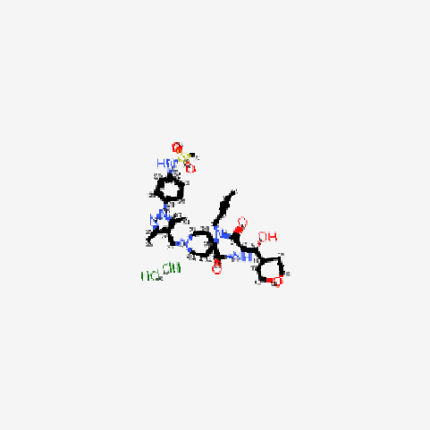 CC#CCN1C(=O)[C@@H]([C@H](O)C2CCOCC2)NC(=O)C12CCN(Cc1c(C)nn(-c3ccc(NS(C)(=O)=O)cc3)c1C)CC2.Cl.Cl